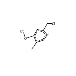 CCOc1cc(CCl)ncc1F